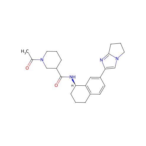 CC(=O)N1CCCC(C(=O)N[C@@H]2CCCc3ccc(-c4cn5c(n4)CCC5)cc32)C1